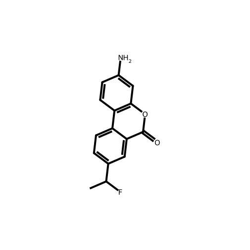 CC(F)c1ccc2c(c1)c(=O)oc1cc(N)ccc12